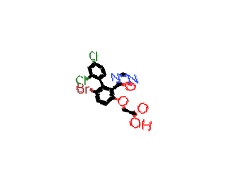 O=C(O)COc1ccc(Br)c(-c2ccc(Cl)cc2Cl)c1-c1ncno1